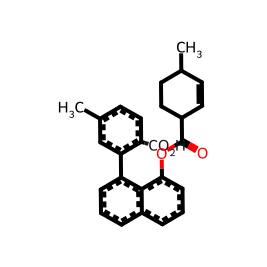 Cc1ccc(C(=O)O)c(-c2cccc3cccc(OC(=O)C4C=CC(C)CC4)c23)c1